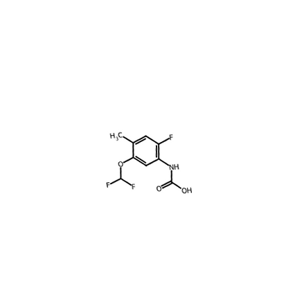 Cc1cc(F)c(NC(=O)O)cc1OC(F)F